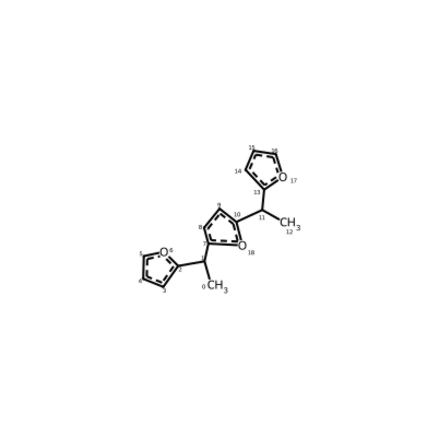 CC(c1ccco1)c1ccc(C(C)c2ccco2)o1